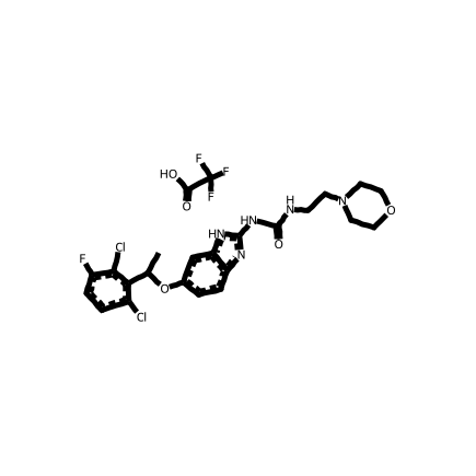 CC(Oc1ccc2nc(NC(=O)NCCN3CCOCC3)[nH]c2c1)c1c(Cl)ccc(F)c1Cl.O=C(O)C(F)(F)F